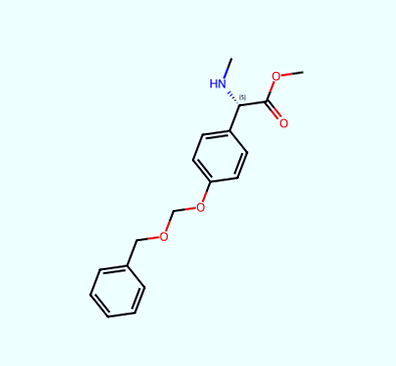 CN[C@H](C(=O)OC)c1ccc(OCOCc2ccccc2)cc1